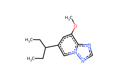 CCC(CC)c1cc(OC)c2ncnn2c1